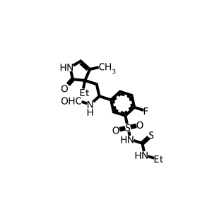 CCNC(=S)NS(=O)(=O)c1cc(C(CC2(CC)C(=O)NC=C2C)NC=O)ccc1F